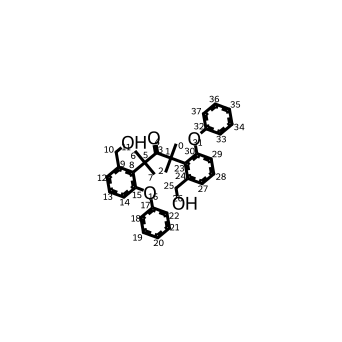 CC(C)(C(=O)C(C)(C)c1c(CO)cccc1Oc1ccccc1)c1c(CO)cccc1Oc1ccccc1